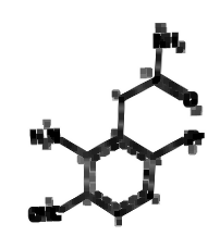 CC(C)c1ccc(C=O)c(N)c1CC(N)=O